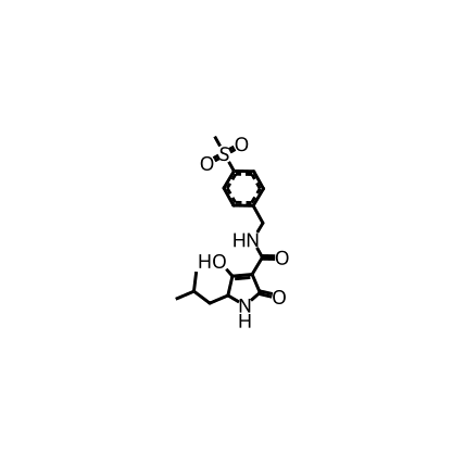 CC(C)CC1NC(=O)C(C(=O)NCc2ccc(S(C)(=O)=O)cc2)=C1O